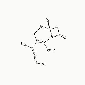 CC(=O)OC(=C=CBr)C1=C(C(=O)O)N2C(=O)C[C@H]2SC1